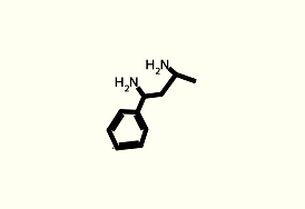 CC(N)CC(N)c1cc[c]cc1